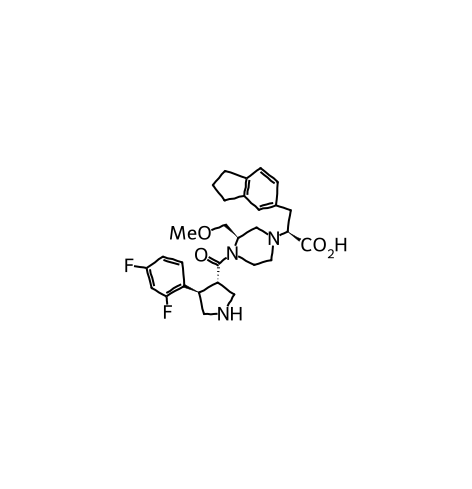 COC[C@H]1CN([C@@H](Cc2ccc3c(c2)CCC3)C(=O)O)CCN1C(=O)[C@@H]1CNC[C@H]1c1ccc(F)cc1F